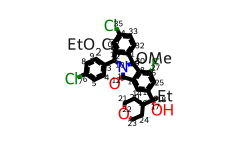 CCOC(=O)CC(c1ccc(Cl)cc1)N1C(=O)c2cc(C(O)(CC)C3CCOCC3)cc(F)c2[C@]1(OC)c1ccc(Cl)cc1